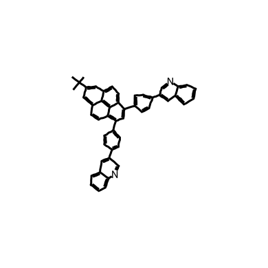 CC(C)(C)c1cc2ccc3c(-c4ccc(-c5cnc6ccccc6c5)cc4)cc(-c4ccc(-c5cnc6ccccc6c5)cc4)c4ccc(c1)c2c34